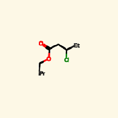 CCC(Cl)CC(=O)OCC(C)C